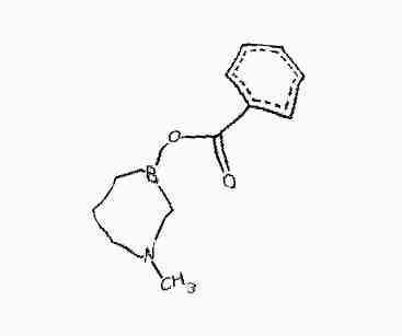 CN1CCCB(OC(=O)c2ccccc2)C1